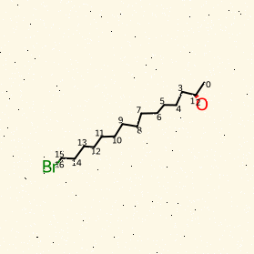 CC(=O)CCCCCCCCCCCCCBr